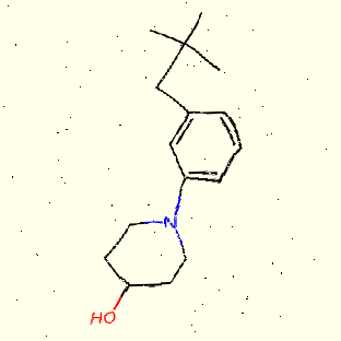 CC(C)(C)Cc1cccc(N2CCC(O)CC2)c1